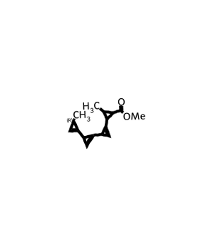 COC(=O)C1C(C)C1C1=CC1C1=CC1C1=C[C@H]1C